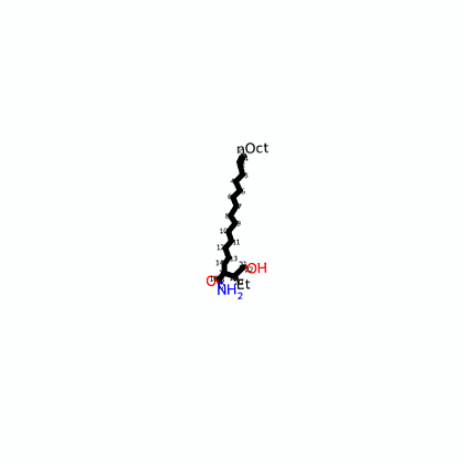 CCCCCCCCC=CCCCCCCCCCCCCC(C(N)=O)C(CC)CO